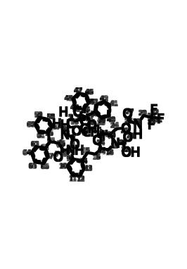 COC(=O)N[C@H](C(=O)Nc1ccccc1CC[C@@H]1CN(C(=O)O)[C@H](COC(=O)NCC(F)(F)F)[C@@H](CO[Si](c2ccccc2)(c2ccccc2)C(C)(C)C)O1)C(c1ccccc1)c1ccccc1